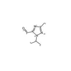 Cc1nc(C=O)n(C(C)C)n1